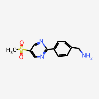 CS(=O)(=O)c1cnc(-c2ccc(CN)cc2)nc1